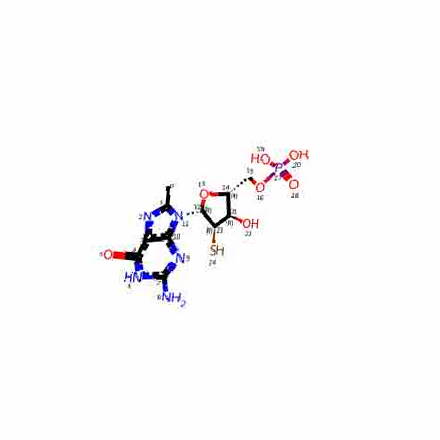 Cc1nc2c(=O)[nH]c(N)nc2n1[C@@H]1O[C@H](COP(=O)(O)O)[C@@H](O)[C@H]1S